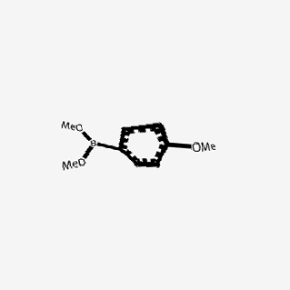 COB(OC)c1ccc(OC)cc1